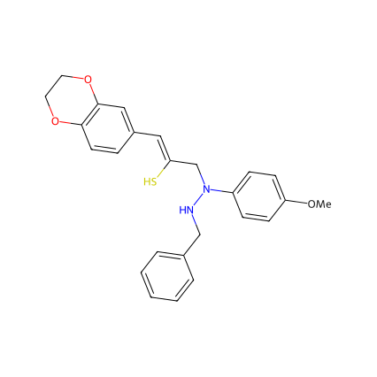 COc1ccc(N(C/C(S)=C/c2ccc3c(c2)OCCO3)NCc2ccccc2)cc1